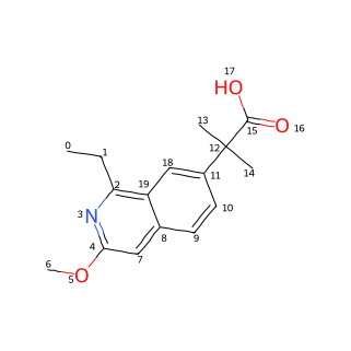 CCc1nc(OC)cc2ccc(C(C)(C)C(=O)O)cc12